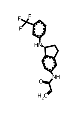 C=CC(=O)Nc1ccc2c(c1)CC[C@@H]2Nc1cccc(C(F)(F)F)c1